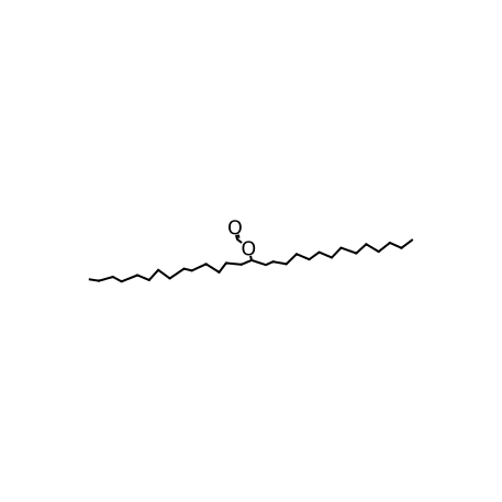 CCCCCCCCCCCCCCC(CCCCCCCCCCCCCC)OC=O